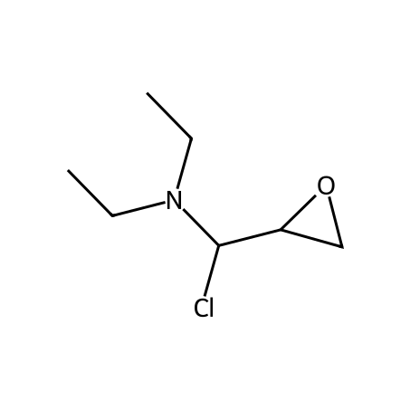 CCN(CC)C(Cl)C1CO1